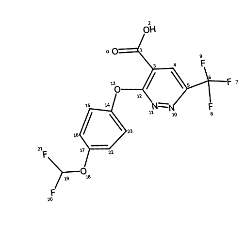 O=C(O)c1cc(C(F)(F)F)nnc1Oc1ccc(OC(F)F)cc1